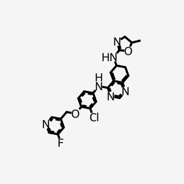 CC1CN=C(NC2C=c3c(Nc4ccc(OCc5cncc(F)c5)c(Cl)c4)ncnc3=CC2)O1